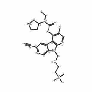 CCN(C(=O)Oc1c(Br)cnc2c1c1cc(C#N)ncc1n2COCC[Si](C)(C)C)C1CCNC1